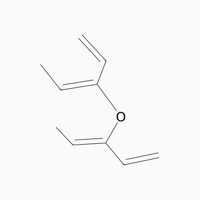 C=CC(=CC)OC(C=C)=CC